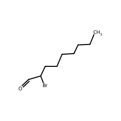 CCCCCCCC(Br)C=O